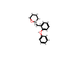 c1ccc(Oc2ccccc2C[SiH]2CCCCO2)cc1